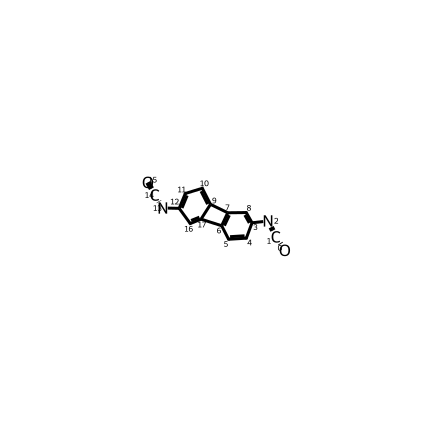 O=C=Nc1ccc2c(c1)-c1ccc(N=C=O)cc1-2